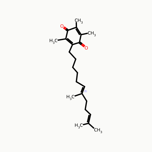 CC(C)=CCC/C(C)=C/CCCCCC1=C(C)C(=O)C(C)=C(C)C1=O